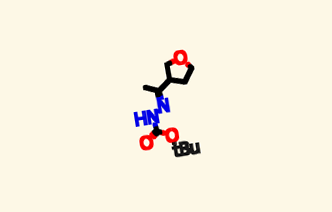 CC(=NNC(=O)OC(C)(C)C)C1CCOC1